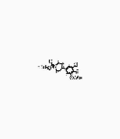 COc1cc(C2CCN(C(=O)OC(C)(C)C)CC2)cc(Cl)c1F